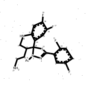 CC(=O)N1N=C(c2cc(F)ccc2F)SC12c1cc(F)c(F)cc1NCC2CCN